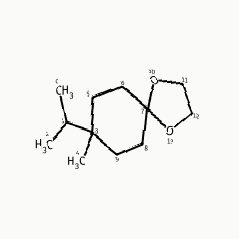 CC(C)C1(C)CCC2(CC1)OCCO2